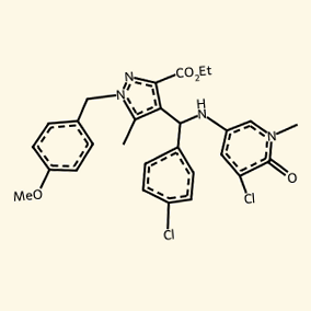 CCOC(=O)c1nn(Cc2ccc(OC)cc2)c(C)c1C(Nc1cc(Cl)c(=O)n(C)c1)c1ccc(Cl)cc1